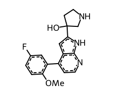 COc1ccc(F)cc1-c1ccnc2[nH]c(C3(O)CCNC3)cc12